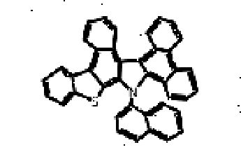 c1ccc2c(-n3c4c5ccccc5c5ccccc5c4c4c5ccccc5c5c6ccccc6sc5c43)cccc2c1